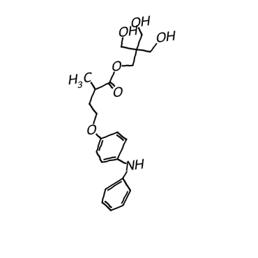 CC(CCOc1ccc(Nc2ccccc2)cc1)C(=O)OCC(CO)(CO)CO